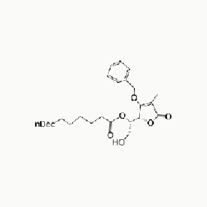 CCCCCCCCCCCCCCCC(=O)O[C@@H](CO)[C@H]1OC(=O)C(C)=C1OCc1ccccc1